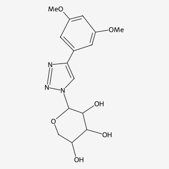 COc1cc(OC)cc(-c2cn(C3OCC(O)C(O)C3O)nn2)c1